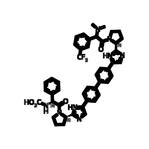 CN(C)C(C(=O)N1CCC[C@H]1c1ncc(-c2ccc(-c3ccc(-c4cnc([C@@H]5CCCN5C(=O)[C@H](NC(=O)O)c5ccccc5)[nH]4)cc3)cc2)[nH]1)c1cccc(C(F)(F)F)c1